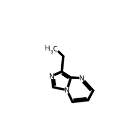 CCc1ncn2cccnc12